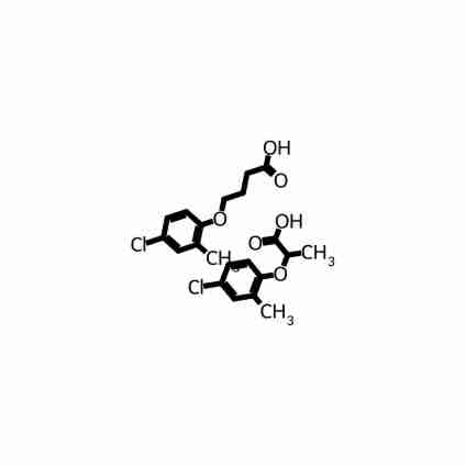 Cc1cc(Cl)ccc1OC(C)C(=O)O.Cc1cc(Cl)ccc1OCCCC(=O)O